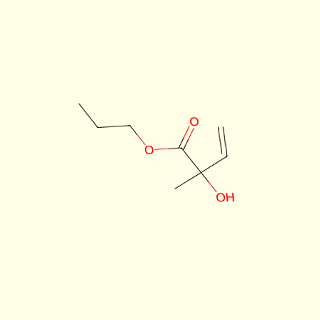 C=CC(C)(O)C(=O)OCCC